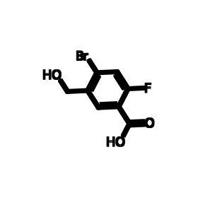 O=C(O)c1cc(CO)c(Br)cc1F